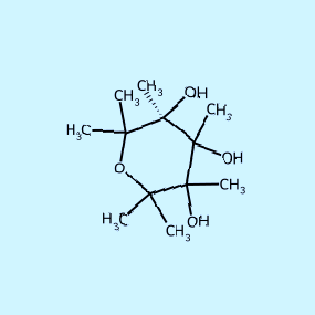 CC1(C)OC(C)(C)[C@@](C)(O)C(C)(O)C1(C)O